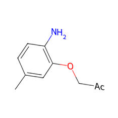 CC(=O)COc1cc(C)ccc1N